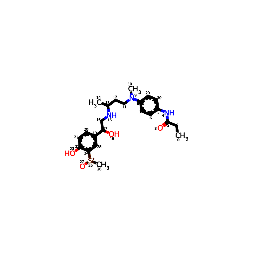 CCC(=O)Nc1ccc(N(C)CCC(C)NCC(O)c2ccc(O)c([S+](C)[O-])c2)cc1